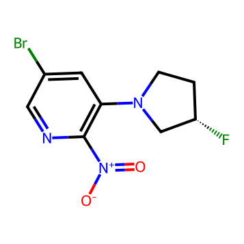 O=[N+]([O-])c1ncc(Br)cc1N1CC[C@H](F)C1